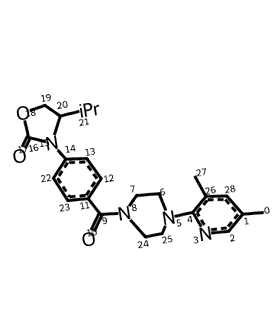 Cc1cnc(N2CCN(C(=O)c3ccc(N4C(=O)OCC4C(C)C)cc3)CC2)c(C)c1